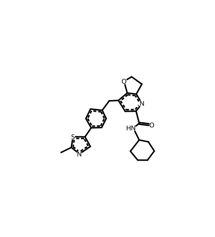 Cc1ncc(-c2ccc(Cc3cc(C(=O)NC4CCCCC4)nc4c3OCC4)cc2)s1